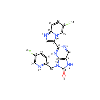 O=c1[nH]c2cnc(-c3cnc4ccc(F)cn34)nc2n1Cc1ccc(F)cn1